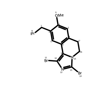 COc1cc2c(cc1CC(C)C)-c1c(Br)nc(Br)n1CC2